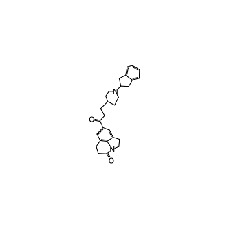 O=C(CCC1CCN(C2Cc3ccccc3C2)CC1)c1cc2c3c(c1)CCN3C(=O)CC2